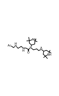 CC(=O)CNCCNCC(=O)N(CCCN(C)C1CC(C)(C)NC(C)(C)C1)C1CC(C)(C)NC(C)(C)C1